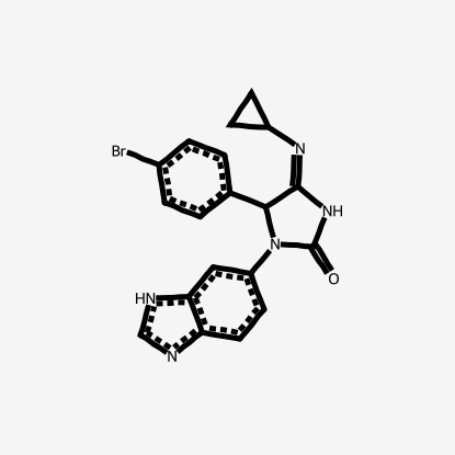 O=C1N/C(=N/C2CC2)C(c2ccc(Br)cc2)N1c1ccc2nc[nH]c2c1